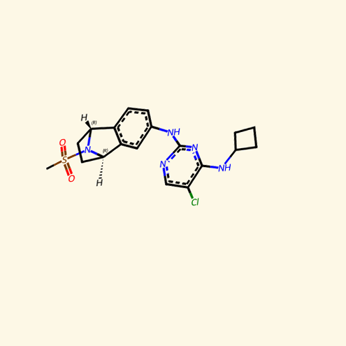 CS(=O)(=O)N1[C@@H]2CC[C@@H]1c1cc(Nc3ncc(Cl)c(NC4CCC4)n3)ccc12